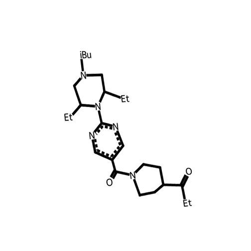 CCC(=O)C1CCN(C(=O)c2cnc(N3C(CC)CN(C(C)CC)CC3CC)nc2)CC1